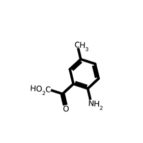 Cc1ccc(N)c(C(=O)C(=O)O)c1